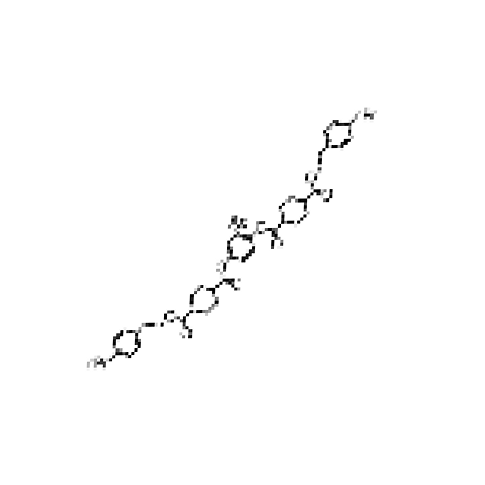 CCCc1ccc(CCOC(=O)C2CCC(C(=O)Oc3ccc(OC(=O)C4CCC(C(=O)OCCc5ccc(CCC)cc5)CC4)c(C(C)=O)c3)CC2)cc1